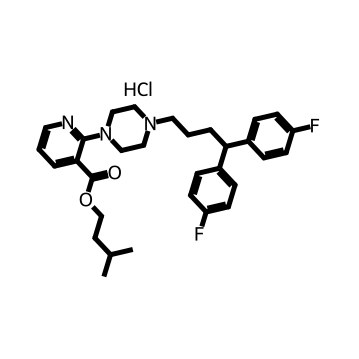 CC(C)CCOC(=O)c1cccnc1N1CCN(CCCC(c2ccc(F)cc2)c2ccc(F)cc2)CC1.Cl